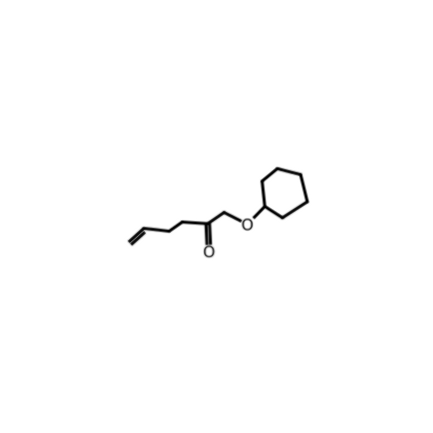 C=CCCC(=O)COC1CCCCC1